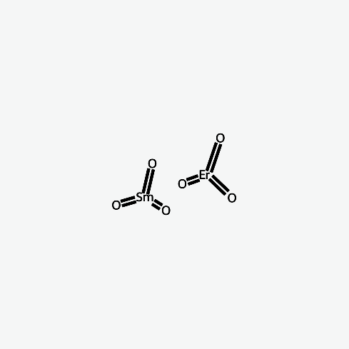 [O]=[Er](=[O])=[O].[O]=[Sm](=[O])=[O]